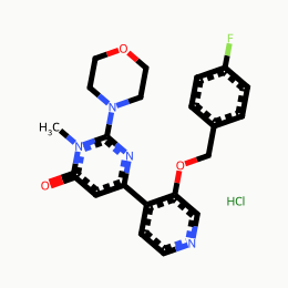 Cl.Cn1c(N2CCOCC2)nc(-c2ccncc2OCc2ccc(F)cc2)cc1=O